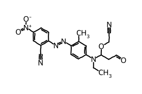 CCN(c1ccc(N=Nc2ccc([N+](=O)[O-])cc2C#N)c(C)c1)C(CC=O)OCC#N